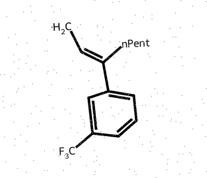 [CH2]C=C(CCCCC)c1cccc(C(F)(F)F)c1